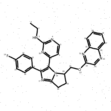 CCNc1nccc(-c2c(-c3ccc(F)cc3)nc3n2C(COc2cnc4ccccc4n2)CC3)n1